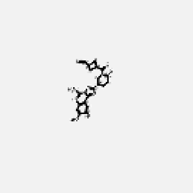 COc1cc2nc(N)n3nc([C@@H]4CC[C@H](C)N(C(=O)C5CC(C#N)C5)C4)nc3c2cc1F